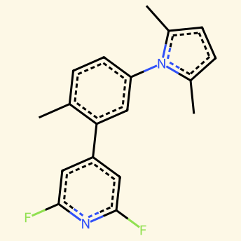 Cc1ccc(-n2c(C)ccc2C)cc1-c1cc(F)nc(F)c1